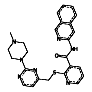 CN1CCN(c2nccc(CSc3ncccc3C(=O)Nc3cc4ccccc4cn3)n2)CC1